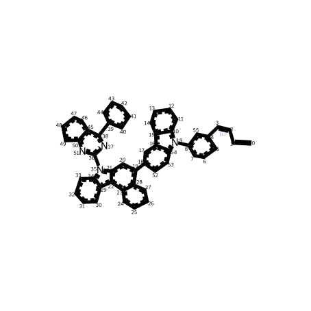 C=C/C=C\c1cccc(-n2c3ccccc3c3cc(-c4cc5c(c6ccccc46)c4ccccc4n5-c4nc(-c5ccccc5)c5ccccc5n4)ccc32)c1